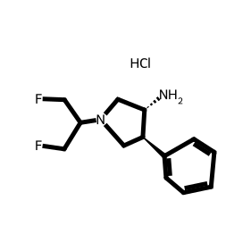 Cl.N[C@H]1CN(C(CF)CF)C[C@@H]1c1ccccc1